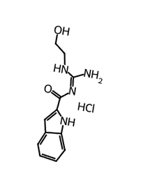 Cl.NC(=NC(=O)c1cc2ccccc2[nH]1)NCCO